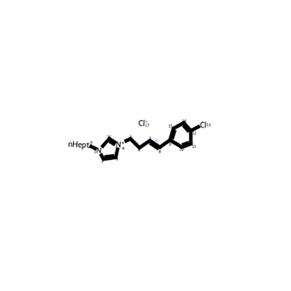 CCCCCCCn1cc[n+](CC/C=C/c2ccc(Cl)cc2)c1.[Cl-]